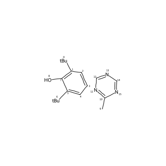 CC(C)(C)c1cccc(C(C)(C)C)c1O.Cc1ncncn1